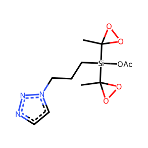 CC(=O)O[Si](CCCn1ccnn1)(C1(C)OO1)C1(C)OO1